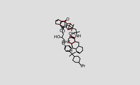 CC(C)C1CCC(C(C)(C)c2ccc(OCC(O)COC34C5C=CCCC5C(C5C=CCC53)C3C(=O)N(C(C)(C)C(C)(C)CC(C)(C)NC(=O)C5C6C7C=C(O)CCC7[C@H](C7C=CCCC67)C5C=O)C(=O)C34)cc2)CC1